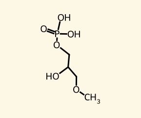 COCC(O)COP(=O)(O)O